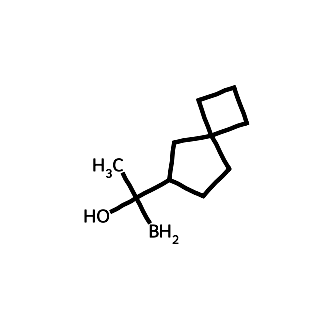 BC(C)(O)C1CCC2(CCC2)C1